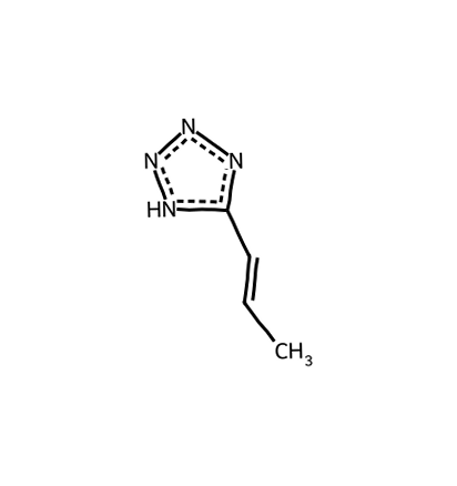 CC=Cc1nnn[nH]1